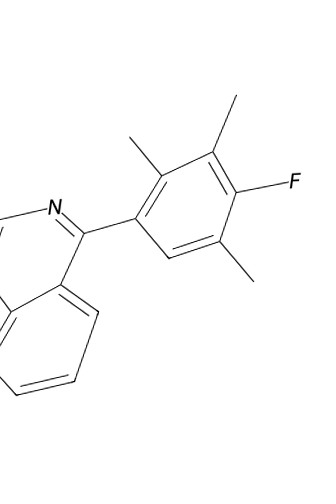 Cc1cc(-c2ncnc3ccccc23)c(C)c(C)c1F